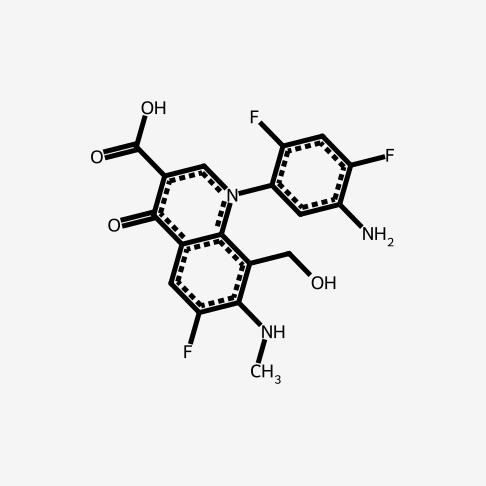 CNc1c(F)cc2c(=O)c(C(=O)O)cn(-c3cc(N)c(F)cc3F)c2c1CO